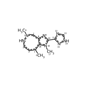 Cc1cc[nH]n(C)cc2nc(-c3nc[nH]n3)n(C)c12